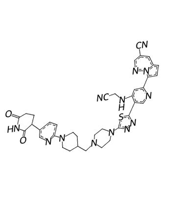 N#CCNc1cc(-c2ccc3cc(C#N)cnn23)ncc1-c1nnc(N2CCN(CC3CCN(c4ccc(C5CCC(=O)NC5=O)cn4)CC3)CC2)s1